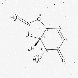 C=C1C[C@@H]2C(C=CC(=O)[C@@H]2C)O1